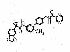 Cc1ccc(NC(=O)C2(c3ccc4c(c3)OCO4)CC2)cc1-c1ccc(CNC(=O)c2cnccn2)cc1